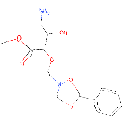 COC(=O)C(OCN1COC(c2ccccc2)O1)C(O)CN